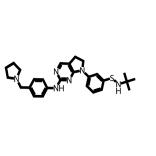 CC(C)(C)NSc1cccc(N2CCc3cnc(Nc4ccc(CN5CCCC5)cc4)nc32)c1